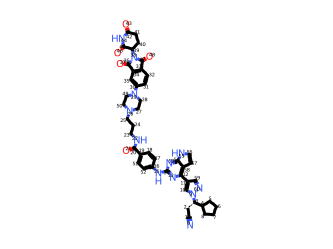 N#CC[C@@H](C1CCCC1)n1cc(-c2nc(Nc3ccc(C(=O)NCCCN4CCN(c5ccc6c(c5)C(=O)N(C5CCC(=O)NC5=O)C6=O)CC4)cc3)nc3[nH]ccc23)cn1